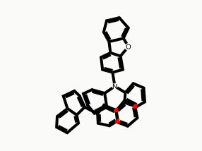 c1ccc(-c2ccccc2N(c2ccc3c(c2)oc2ccccc23)c2ccccc2-c2cccc(-c3cccc4ccccc34)c2)cc1